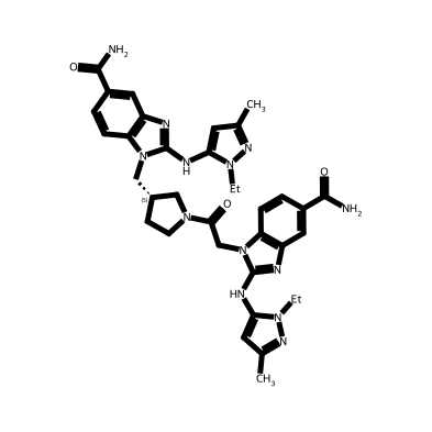 CCn1nc(C)cc1Nc1nc2cc(C(N)=O)ccc2n1CC(=O)N1CC[C@H](Cn2c(Nc3cc(C)nn3CC)nc3cc(C(N)=O)ccc32)C1